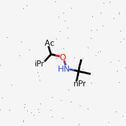 CCCC(C)(C)NOC(C(C)=O)C(C)C